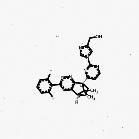 CC1(C)[C@H]2CC[C@]1(c1ccnc(-n3cnc(CO)c3)n1)c1nnc(-c3c(F)cccc3F)cc12